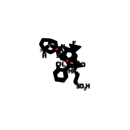 Cc1ccccc1-c1noc(C2CC2)c1CO[C@@H]1CC2CC[C@@H](C1)N2c1nc2c(F)cc(C(=O)NCCS(=O)(=O)O)cc2s1